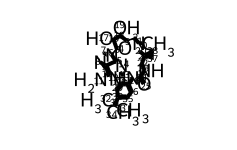 CN(C[C@H]1O[C@@H](n2cnc3c(N)ncnc32)[C@H](O)[C@@H]1O)CC1(CNC(=O)Nc2ccc(C(C)(C)C)cc2)CC1